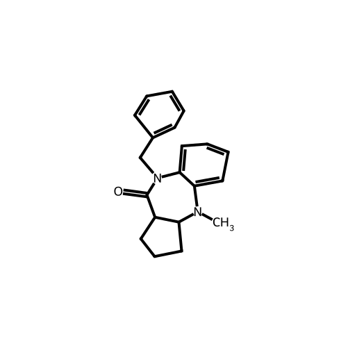 CN1c2ccccc2N(Cc2ccccc2)C(=O)C2CCCC21